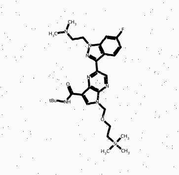 CN(C)CCn1nc(-c2cnc3c(n2)c(C(=O)NC(C)(C)C)cn3COCC[Si](C)(C)C)c2ccc(F)cc21